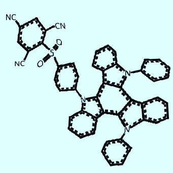 N#Cc1cc(C#N)c(S(=O)(=O)c2ccc(-n3c4ccccc4c4c5c(c6ccccc6n5-c5ccccc5)c5c(c6ccccc6n5-c5ccccc5)c43)cc2)c(C#N)c1